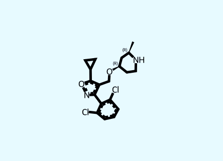 C[C@@H]1C[C@H](OCc2c(-c3c(Cl)cccc3Cl)noc2C2CC2)CCN1